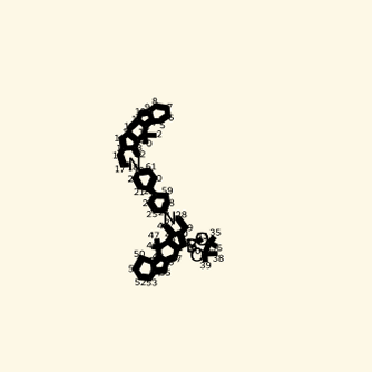 CC1(C)C2=c3ccccc3=CC2=Cc2cc3ccn(-c4ccc(-c5ccc(-n6ccc7c(B8OC(C)(C)C(C)(C)O8)c8c(c-7c6)C(C)(C)C6=c7ccccc7=CC6=C8)cc5)cc4)cc-3c21